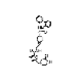 Cc1cc(CN2CCNC(=O)C2)oc1C(=O)NCCN1CCC(OC(=O)Nc2ccccc2-c2ccccc2)CC1